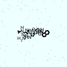 CC(C)OC(=O)[C@H](C)N[P@@](=O)(OC[C@@H]1CC(=N)[C@H](n2cnc3c(NC4CC4)nc(N)nc32)O1)Oc1cccc2ccccc12